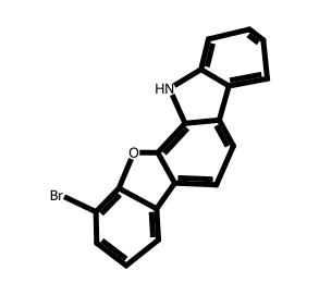 Brc1cccc2c1oc1c2ccc2c3ccccc3[nH]c21